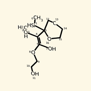 C[SiH](C)C1(C(O)=C(O)OCCO)CCCCO1